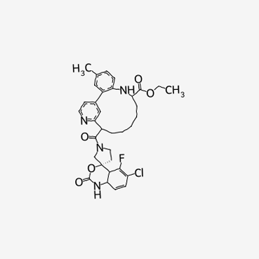 CCOC(=O)C1CCCCCC(C(=O)N2CC[C@@]3(C2)OC(=O)NC2C=CC(Cl)=C(F)C23)c2cc(ccn2)-c2cc(C)ccc2N1